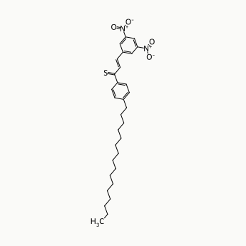 CCCCCCCCCCCCCCCCc1ccc(C(=S)C=Cc2cc([N+](=O)[O-])cc([N+](=O)[O-])c2)cc1